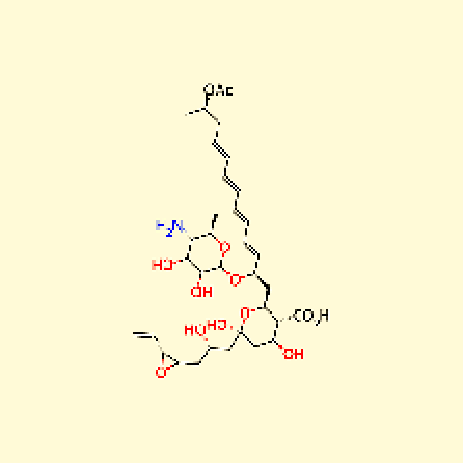 C=C[C@H]1O[C@@H]1C[C@H](O)C[C@]1(O)C[C@H](O)[C@@H](C(=O)O)[C@H](C[C@H](/C=C/C=C/C=C/C=C/C[C@@H](C)OC(C)=O)O[C@@H]2O[C@H](C)[C@@H](N)C(O)C2O)O1